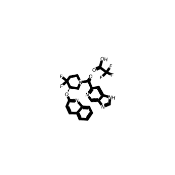 O=C(O)C(F)(F)F.O=C(c1cc2[nH]cnc2cn1)N1CCC(F)(F)[C@@H](Oc2ccc3ccccc3n2)C1